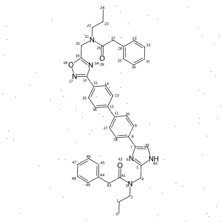 CCCN(Cc1nc(-c2ccc(-c3ccc(-c4noc(CN(CCC)C(=O)Cc5ccccc5)n4)cc3)cc2)c[nH]1)C(=O)Cc1ccccc1